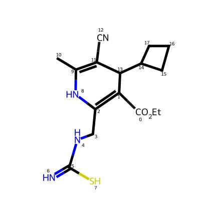 CCOC(=O)C1=C(CNC(=N)S)NC(C)=C(C#N)C1C1CCC1